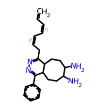 C=C/C=C\C=C/CC1=NN=C(c2ccccc2)C2CCC(N)C(N)CCC12